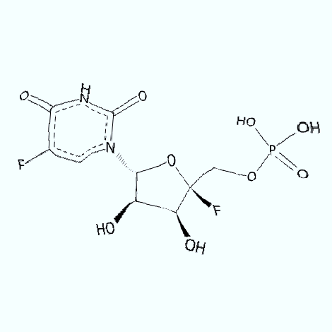 O=c1[nH]c(=O)n([C@@H]2O[C@](F)(COP(=O)(O)O)[C@@H](O)[C@H]2O)cc1F